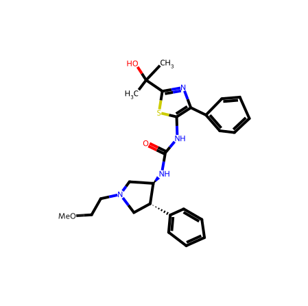 COCCN1C[C@@H](NC(=O)Nc2sc(C(C)(C)O)nc2-c2ccccc2)[C@H](c2ccccc2)C1